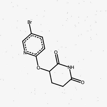 O=C1CCC(Oc2ccc(Br)cn2)C(=O)N1